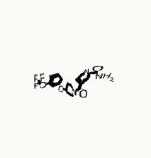 NC(=O)c1cc(C(=O)N2CCC(Oc3cccc(OC(F)(F)F)c3)CC2)ccn1